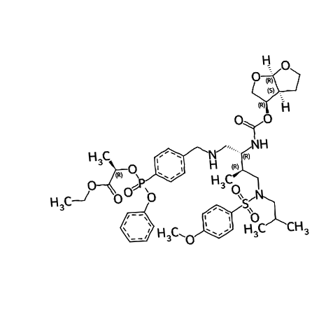 CCOC(=O)[C@@H](C)OP(=O)(Oc1ccccc1)c1ccc(CNC[C@H](NC(=O)O[C@H]2CO[C@H]3OCC[C@H]32)[C@H](C)CN(CC(C)C)S(=O)(=O)c2ccc(OC)cc2)cc1